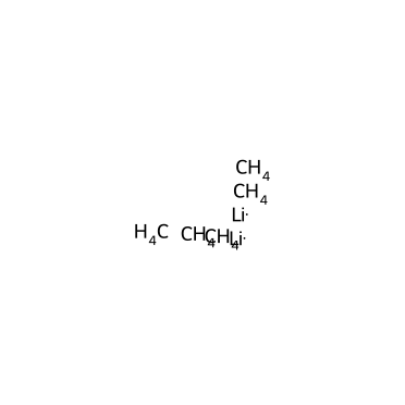 C.C.C.C.C.[Li].[Li]